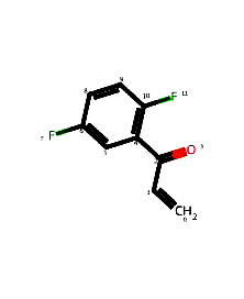 C=CC(=O)c1cc(F)ccc1F